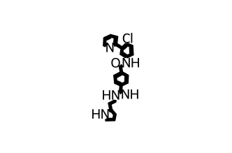 N=C(NCCC1CCCN1)c1ccc(C(=O)Nc2ccc(Cl)c(-c3ccccn3)c2)cc1